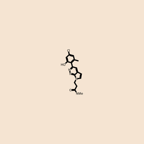 CNC(=O)CCn1ccc2cc(-c3c(C)cc(Cl)cc3O)nnc21